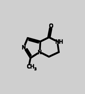 Cc1ncc2n1CCNC2=O